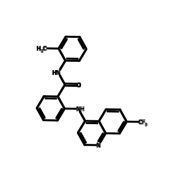 Cc1ccccc1NC(=O)c1ccccc1Nc1ccnc2cc(C(F)(F)F)ccc12